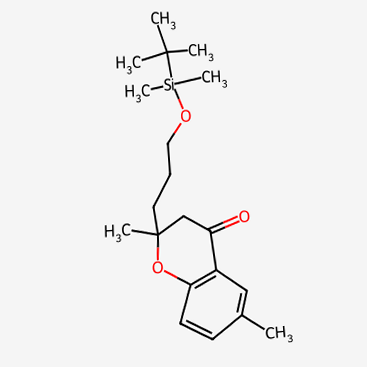 Cc1ccc2c(c1)C(=O)CC(C)(CCCO[Si](C)(C)C(C)(C)C)O2